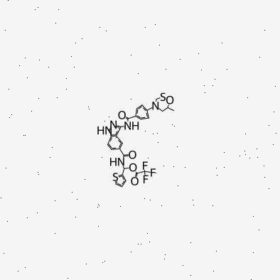 CC1CN(c2ccc(C(=O)Nc3n[nH]c4ccc(C(=O)NC(OC(=O)C(F)(F)F)c5cccs5)cc34)cc2)CSO1